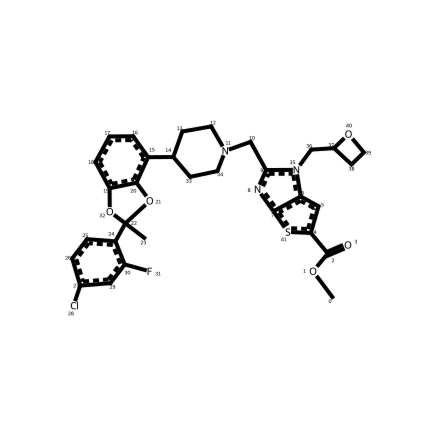 COC(=O)c1cc2c(nc(CN3CCC(c4cccc5c4OC(C)(c4ccc(Cl)cc4F)O5)CC3)n2CC2CCO2)s1